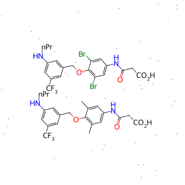 CCCNc1cc(COc2c(Br)cc(NC(=O)CC(=O)O)cc2Br)cc(C(F)(F)F)c1.CCCNc1cc(COc2c(C)cc(NC(=O)CC(=O)O)cc2C)cc(C(F)(F)F)c1